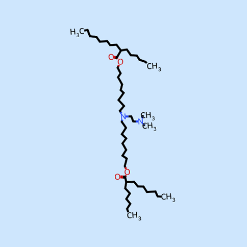 CCCCCCCCC(CCCCCC)C(=O)OCCCCCCCCCN(CCCCCCCCCOC(=O)C(CCCCCC)CCCCCCC)CCN(C)C